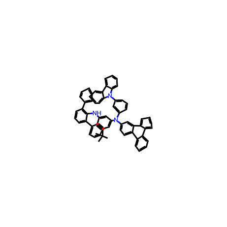 CC(C)(C)c1cc(Nc2c(-c3ccccc3)cccc2-c2ccccc2)cc(N(c2cccc(-n3c4ccccc4c4ccccc43)c2)c2ccc3c4ccccc4c4ccccc4c3c2)c1